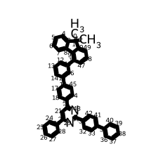 CC1(C)c2ccccc2-c2c(-c3cccc(-c4ccc(-c5cc(-c6ccccc6)nc(-c6ccc(-c7ccccc7)cc6)n5)cc4)c3)cccc21